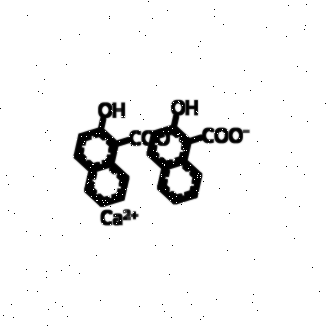 O=C([O-])c1c(O)ccc2ccccc12.O=C([O-])c1c(O)ccc2ccccc12.[Ca+2]